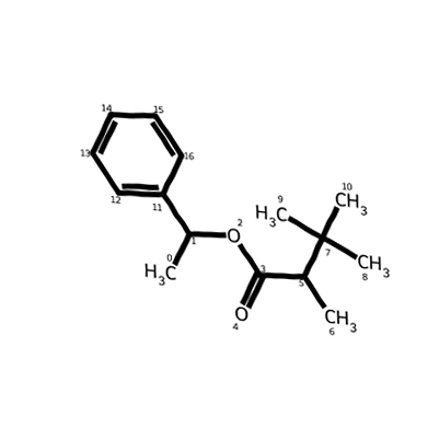 CC(OC(=O)C(C)C(C)(C)C)c1ccccc1